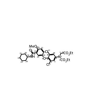 CCOC(=O)CN(C(=O)OCC)c1cc(Cl)c(Oc2ccc(OC)c(C(=O)NC3CCCCC3)c2)c(Cl)c1